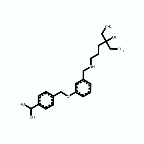 CCC(O)(CC)CCCNCc1cccc(OCc2ccc(C(O)O)cc2)c1